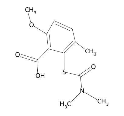 COc1ccc(C)c(SC(=O)N(C)C)c1C(=O)O